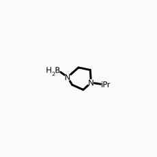 BN1CCN(C(C)C)CC1